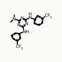 CN(C)c1nc(Nc2cccc(C(F)(F)F)c2)nc(Nc2cccc(C(F)(F)F)c2)n1